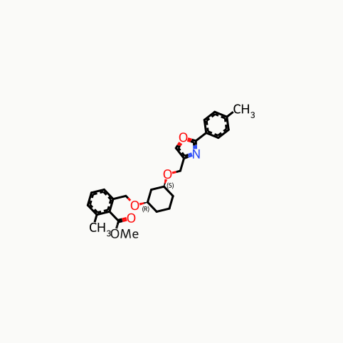 COC(=O)c1c(C)cccc1CO[C@@H]1CCC[C@H](OCc2coc(-c3ccc(C)cc3)n2)C1